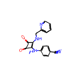 N#Cc1ccc(Nc2c(NCc3ccccn3)c(=O)c2=O)cc1